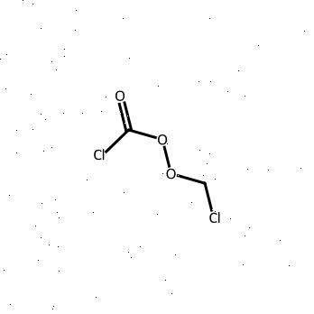 O=C(Cl)OOCCl